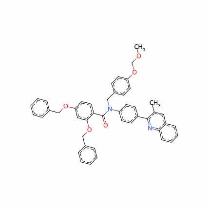 COCOc1ccc(CN(C(=O)c2ccc(OCc3ccccc3)cc2OCc2ccccc2)c2ccc(-c3nc4ccccc4cc3C)cc2)cc1